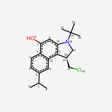 CC(C)c1ccc2c(O)cc3c(c2c1)[C@H](CCl)CN3C(C)(C)C